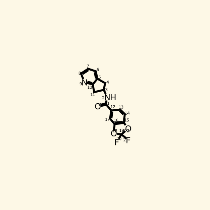 O=C(NC1Cc2cccnc2C1)c1ccc2c(c1)OC(F)(F)O2